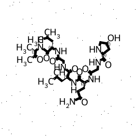 CC(=O)[C@H](C)NC(=O)[C@H](CC(C)C)NC(=O)CNC(=O)[C@H](CC(C)C)NC(=O)[C@H](CCC(N)=O)NC(=O)CNC(=O)[C@@H]1C[C@@H](O)CN1